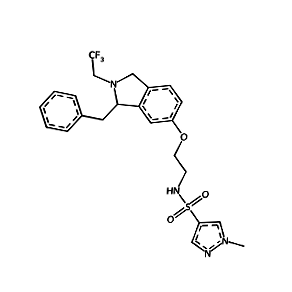 Cn1cc(S(=O)(=O)NCCOc2ccc3c(c2)C(Cc2ccccc2)N(CC(F)(F)F)C3)cn1